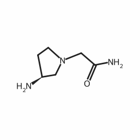 NC(=O)CN1CC[C@H](N)C1